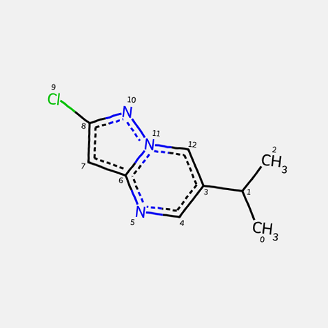 CC(C)c1cnc2cc(Cl)nn2c1